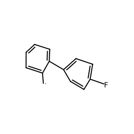 [CH2]c1ccccc1-c1ccc(F)cc1